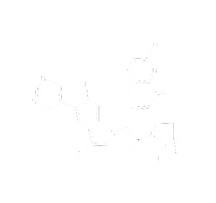 CC(=O)c1cn(CC(=O)N2[C@H](C(=O)Nc3nc(Br)ccc3C)C[C@@]3(C)C[C@@H]23)c2cc(F)c(-c3cnc(C)nc3)cc12